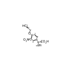 C#CCOc1ccc(C(CCC)C(=O)O)cc1[N+](=O)[O-]